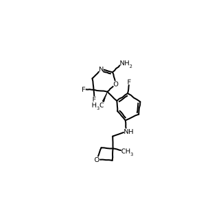 CC1(CNc2ccc(F)c([C@@]3(C)OC(N)=NCC3(F)F)c2)COC1